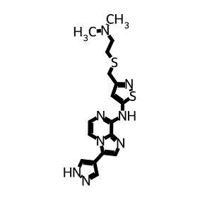 CN(C)CCSCc1cc(Nc2nccn3c(-c4cn[nH]c4)cnc23)sn1